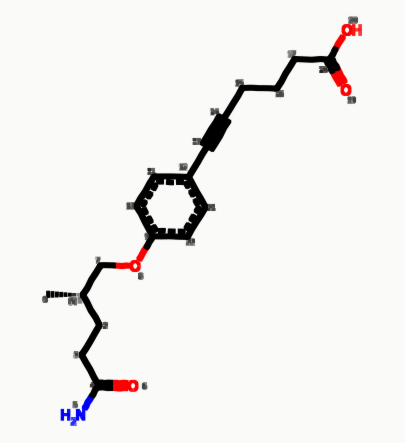 C[C@@H](CCC(N)=O)COc1ccc(C#CCCCC(=O)O)cc1